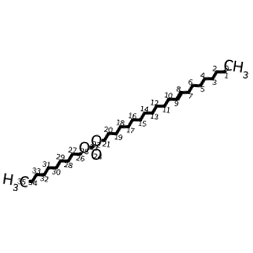 CCCCCCCCC=CCCCCCCCCCCCCOC(=O)OCCCCCCCCCC